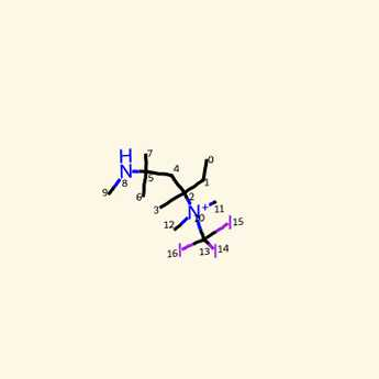 CCC(C)(CC(C)(C)NC)[N+](C)(C)C(I)(I)I